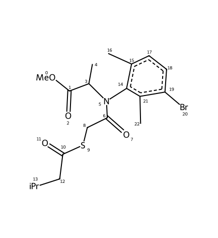 COC(=O)C(C)N(C(=O)CSC(=O)CC(C)C)c1c(C)ccc(Br)c1C